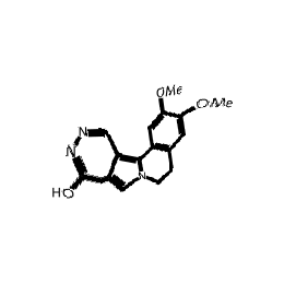 COc1cc2c(cc1OC)-c1c3cnnc(O)c3cn1CC2